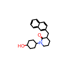 O=C1C(Cc2ccc3ccccc3c2)CCCN1C1CCC(O)CC1